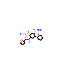 NS(=O)(=O)c1cc(S(N)(=O)=O)c(-c2ccccc2)cc1NCc1ccco1